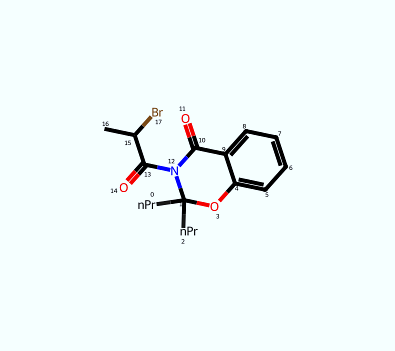 CCCC1(CCC)Oc2ccccc2C(=O)N1C(=O)C(C)Br